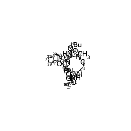 CN1CCC/C=C\[C@@H]2C[C@@]2(C(=O)NS(=O)(=O)C2CC2)NC(=O)[C@@H]2CC(Oc3nccc4ccccc34)CN2C(=O)[C@@H](NC(=O)OC(C)(C)C)C1